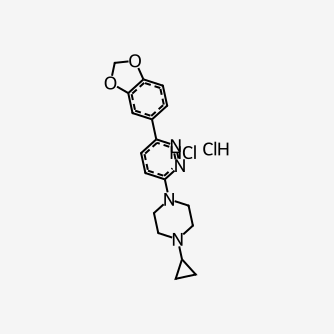 Cl.Cl.c1cc2c(cc1-c1ccc(N3CCN(C4CC4)CC3)nn1)OCO2